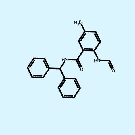 Bc1ccc(NC=O)c(C(=O)NC(c2ccccc2)c2ccccc2)c1